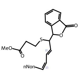 CCCCCCCCC/C=C\C=C\C(SCCC(=O)OC)C1OC(=O)c2ccccc21